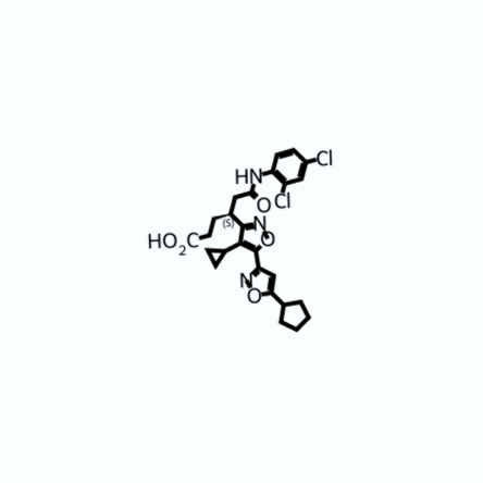 O=C(O)CC[C@@H](CC(=O)Nc1ccc(Cl)cc1Cl)c1noc(-c2cc(C3CCCC3)on2)c1C1CC1